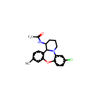 N#Cc1ccc2c(c1)Oc1ccc(Cl)cc1N1CCCC(NC(=O)C(F)(F)F)C21